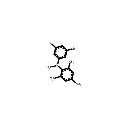 CN(c1cc(Br)cc(Br)c1)c1c([N+](=O)[O-])cc([N+](=O)[O-])cc1C(F)(F)F